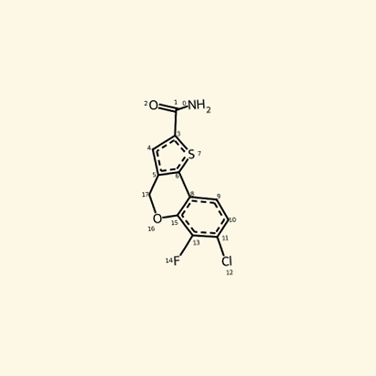 NC(=O)c1cc2c(s1)-c1ccc(Cl)c(F)c1OC2